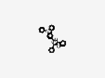 c1ccc(-c2nc(-c3ccc4c(c3)c3ccccc3n4-c3ccccc3)nc3c2oc2ccccc23)cc1